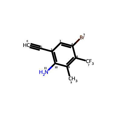 C#Cc1cc(Br)c(C(F)(F)F)c(C)c1N